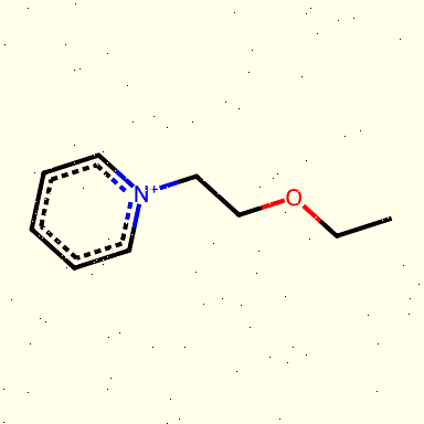 CCOCC[n+]1ccccc1